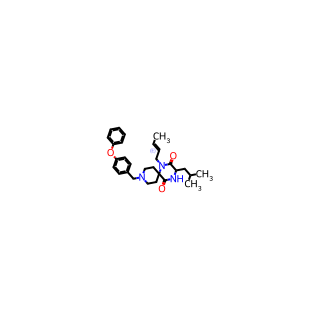 C/C=C/CN1C(=O)C(CC(C)C)NC(=O)C12CCN(Cc1ccc(Oc3ccccc3)cc1)CC2